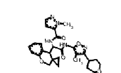 Cc1c(C2CCOCC2)noc1NC(=O)[C@@H](NC(=O)c1ccnn1C)C1c2ccccc2OCC12CC2